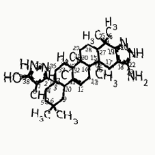 Cc1c([C@]23CCC(C)(C)CC2C2=CCC4[C@@]5(C)Cc6c(n[nH]c6N)C(C)(C)C5CC[C@@]4(C)[C@]2(C)CC3)n[nH]c1O